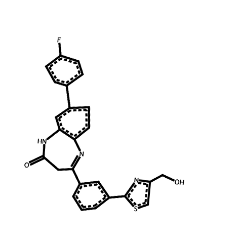 O=C1CC(c2cccc(-c3nc(CO)cs3)c2)=Nc2ccc(-c3ccc(F)cc3)cc2N1